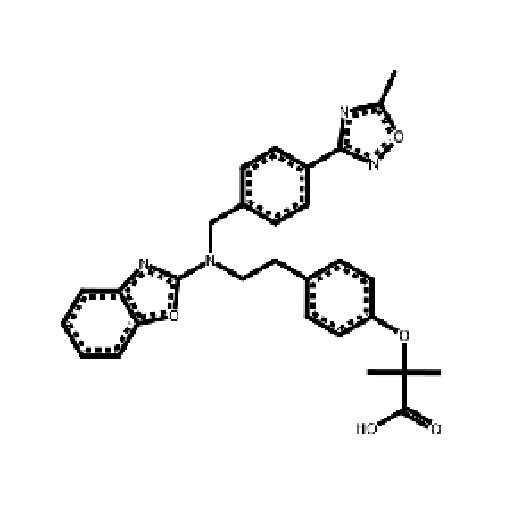 Cc1nc(-c2ccc(CN(CCc3ccc(OC(C)(C)C(=O)O)cc3)c3nc4ccccc4o3)cc2)no1